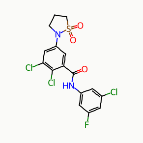 O=C(Nc1cc(F)cc(Cl)c1)c1cc(N2CCCS2(=O)=O)cc(Cl)c1Cl